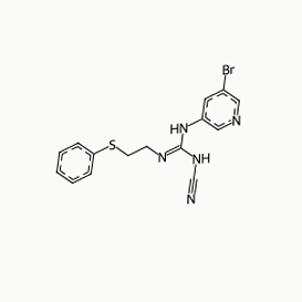 N#CN/C(=N/CCSc1ccccc1)Nc1cncc(Br)c1